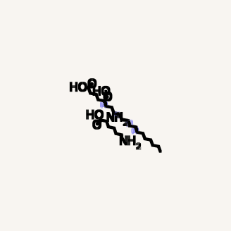 CCCCCC/C=C/C=C/C/C=C/C/C=C(/CCCC(=O)O)OO.NCCCCC(N)C(=O)O